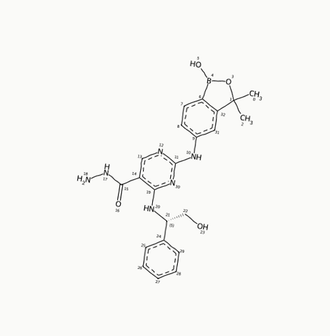 CC1(C)OB(O)c2ccc(Nc3ncc(C(=O)NN)c(N[C@H](CO)c4ccccc4)n3)cc21